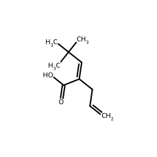 C=CCC(=CC(C)(C)C)C(=O)O